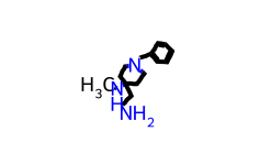 CNC1(CCN)CCN(Cc2ccccc2)CC1